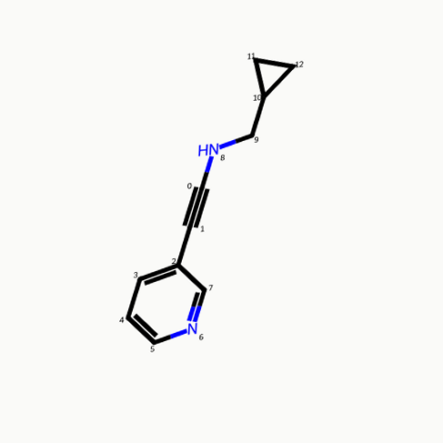 C(#Cc1cccnc1)NCC1CC1